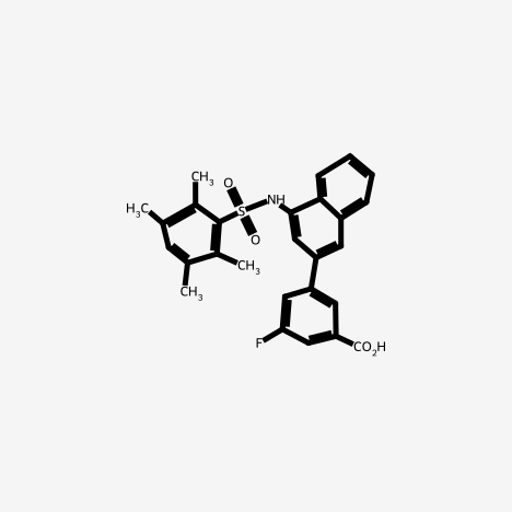 Cc1cc(C)c(C)c(S(=O)(=O)Nc2cc(-c3cc(F)cc(C(=O)O)c3)cc3ccccc23)c1C